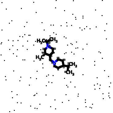 CC(C)C1CCN(CC2CCN(C(C)C)C[C@H]2C)CC1